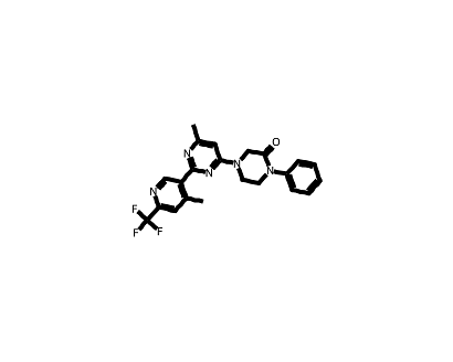 Cc1cc(N2CCN(c3ccccc3)C(=O)C2)nc(-c2cnc(C(F)(F)F)cc2C)n1